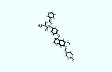 COc1cc2c(Oc3ccc(N(CCc4ccccc4)C(=O)C(N)=O)cc3F)ncnc2cc1OCC1CCN(C)CC1